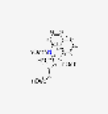 CCCCCCCCCCCCCC1(C)C(CCCCCCCC)c2cccc3cccc(c23)N1CCCCCCCC